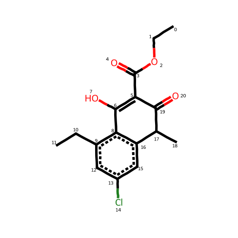 CCOC(=O)C1=C(O)c2c(CC)cc(Cl)cc2C(C)C1=O